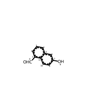 O=Cc1cccc2cc(O)ccc12